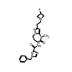 CN1C(=O)[C@H](NC(=O)c2ncn(Cc3ccccc3)n2)CCn2nc(CCN3CC(F)C3)cc21